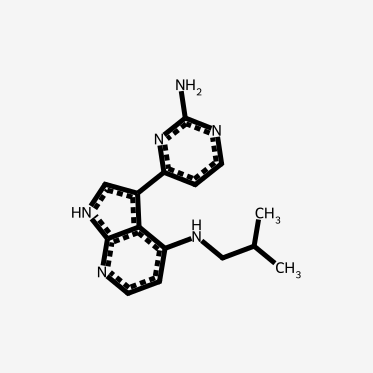 CC(C)CNc1ccnc2[nH]cc(-c3ccnc(N)n3)c12